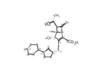 C[C@@H](O)[C@H]1C(=O)N2C(C(=O)O)=C(S[C@@H]3CCN(C4CCNCC4)C3)[C@H](C)[C@H]12